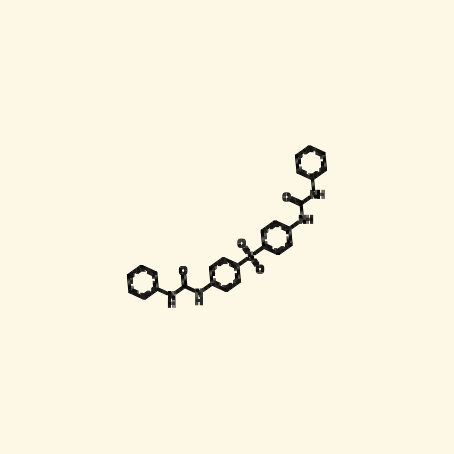 O=C(Nc1ccccc1)Nc1ccc(S(=O)(=O)c2ccc(NC(=O)Nc3ccccc3)cc2)cc1